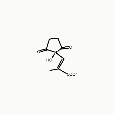 CC(=C[N+]1(O)C(=O)CCC1=O)C(=O)[O-]